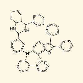 C1=CC2NC(c3cccc(N4c5ccccc5-c5ccccc5-c5c4ccc4c(-c6ccccc6)c(-c6ccccc6)oc54)c3)NC(c3ccccc3)C2C=C1